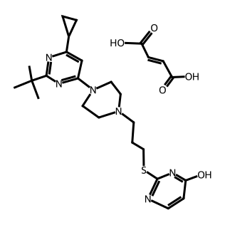 CC(C)(C)c1nc(C2CC2)cc(N2CCN(CCCSc3nccc(O)n3)CC2)n1.O=C(O)C=CC(=O)O